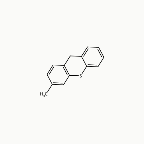 Cc1ccc2c(c1)Sc1ccccc1C2